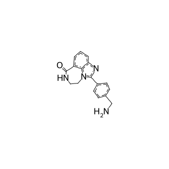 NCc1ccc(-c2nc3cccc4c3n2CCNC4=O)cc1